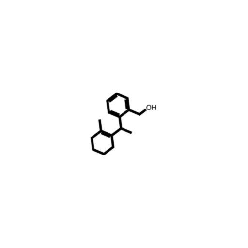 CC1=C(C(C)c2ccccc2CO)CCCC1